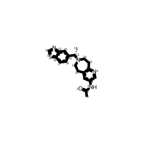 CC(=O)Nc1cnc2c(c1)CCN([C@@H](C)c1ccc3scnc3c1)CC2